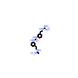 C=C(N)NCCc1cccc(NC(=O)Nc2cccc(CCNC(=N)N)c2)c1